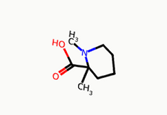 CN1CCCCC1(C)C(=O)O